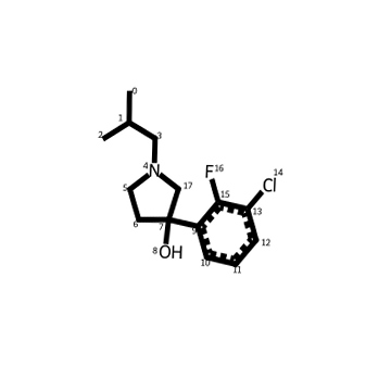 CC(C)CN1CCC(O)(c2cccc(Cl)c2F)C1